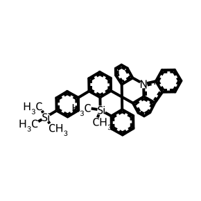 C[Si](C)(C)c1ccc(-c2cccc3c2[Si](C)(C)c2ccccc2C32c3ccccc3-n3c4ccccc4c4cccc2c43)cc1